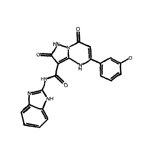 O=C(Nc1nc2ccccc2[nH]1)c1c(=O)[nH]n2c(=O)cc(-c3cccc(Cl)c3)[nH]c12